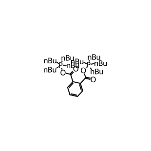 CCCCP(CCCC)(CCCC)(CCCC)OC(=O)c1ccccc1C(=O)OP(CCCC)(CCCC)(CCCC)CCCC